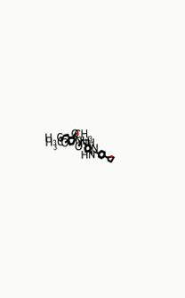 COc1c(NC(=O)Nc2ccc3[nH]c(-c4ccc(C5CCCC5)cc4)nc3c2)ccc2c1C=CC(C)(C)O2